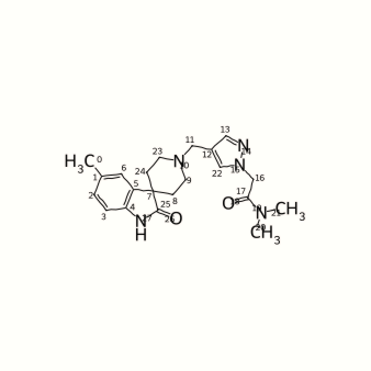 Cc1ccc2c(c1)C1(CCN(Cc3cnn(CC(=O)N(C)C)c3)CC1)C(=O)N2